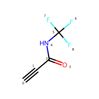 C#CC(=O)NC(F)(F)F